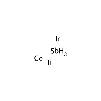 [Ce].[Ir].[SbH3].[Ti]